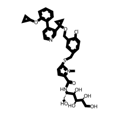 Cn1c(SCc2ccc(Cl)c(COC3(c4cnccc4-c4ccccc4OC4CC4)CC3)c2)ccc1C(=O)N[C@@H](CO)[C@@H](O)[C@H](O)[C@H](O)CO